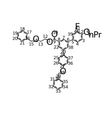 CCCOc1ccc(-c2cc(C(=O)OCCOCc3ccccc3)cc(-c3ccc(OCc4ccccc4)cc3)c2)cc1F